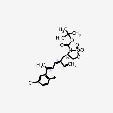 C=C/C(=C\C=C(/C)c1cc(Cl)ccc1F)C[C@@H]1COS(=O)(=O)N1C(=O)OC(C)(C)C